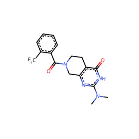 CN(C)c1nc2c(c(=O)[nH]1)CCN(C(=O)c1ccccc1C(F)(F)F)C2